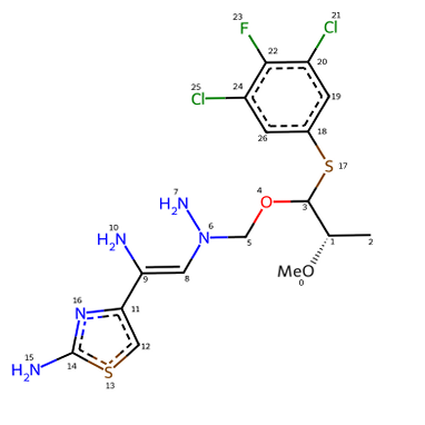 CO[C@@H](C)C(OCN(N)/C=C(\N)c1csc(N)n1)Sc1cc(Cl)c(F)c(Cl)c1